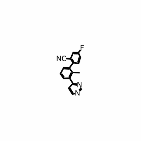 Cc1c(-c2ccncn2)cccc1-c1ccc(F)cc1C#N